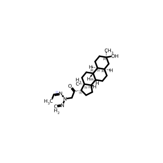 C=NN(CC(=O)[C@H]1CC[C@H]2[C@@H]3CC[C@@H]4C[C@](C)(O)CC[C@@H]4[C@H]3CC[C@]12C)/N=C\C